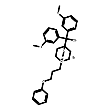 COc1cccc(C(O)(c2cccc(OC)c2)C23CC[N+](CCCOc4ccccc4)(CC2)CC3)c1.[Br-]